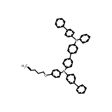 C=CCCCOc1ccc(N(c2ccc(-c3ccccc3)cc2)c2ccc(-c3ccc(N(c4ccccc4)c4ccc(-c5ccccc5)cc4)cc3)cc2)cc1